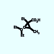 CCC1(C(=O)O)OC1C.CCOCC